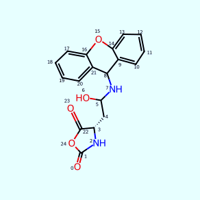 O=C1N[C@@H](CC(O)NC2c3ccccc3Oc3ccccc32)C(=O)O1